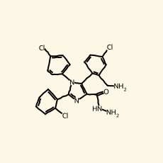 NCc1cc(Cl)ccc1-c1c(C(=O)NN)nc(-c2ccccc2Cl)n1-c1ccc(Cl)cc1